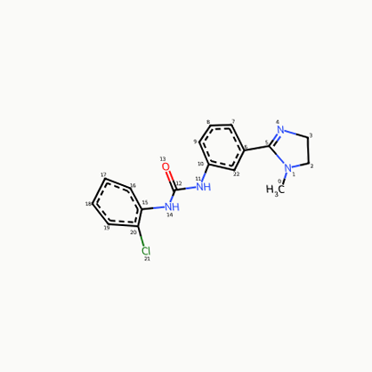 CN1CCN=C1c1cccc(NC(=O)Nc2ccccc2Cl)c1